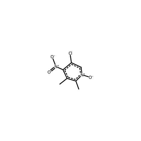 Cc1c([N+](=O)[O-])c(Cl)c[n+]([O-])c1C